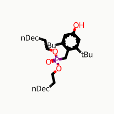 CCCCCCCCCCCCOP(=O)(Cc1c(C(C)(C)C)cc(O)cc1C(C)(C)C)OCCCCCCCCCCCC